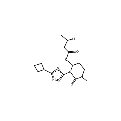 CC(Cl)CC(=O)OC1CCN(C)C(=O)N1c1nnc(C2CCC2)s1